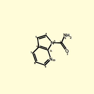 NC(=O)n1ccc2[c]ccnc21